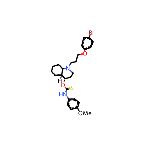 COc1ccc(NC(=S)O[C@H]2CCN(CCCOc3ccc(Br)cc3)C3CCCC[C@H]32)cc1